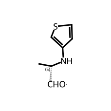 C[C@@H]([C]=O)Nc1ccsc1